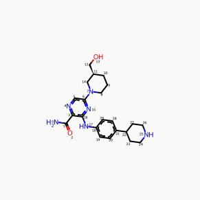 NC(=O)c1ncc(N2CCC[C@H](CO)C2)nc1Nc1ccc(C2CCNCC2)cc1